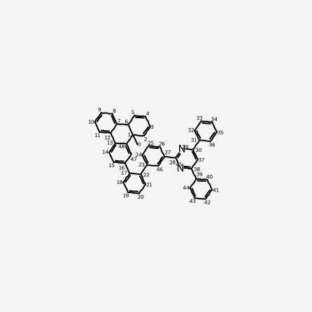 CC12C=CC=CC1c1ccccc1-c1ccc(-c3ccccc3-c3cccc(-c4nc(-c5ccccc5)cc(-c5ccccc5)n4)c3)cc12